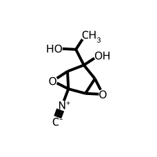 [C-]#[N+]C12OC1C(O)(C(C)O)C1OC12